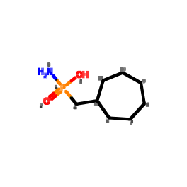 NP(=O)(O)CC1CCCCCC1